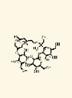 CCC(CC)OC1C(O)[C@H](OC2C(O)[C@H](O)C(CO)O[C@@H]2OC2C(O)[C@H](O)C(CO)O[C@@H]2C(C)(CC)OCCCCCS)OC(CO)[C@H]1O